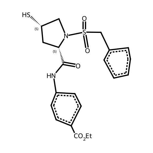 CCOC(=O)c1ccc(NC(=O)[C@@H]2C[C@H](S)CN2S(=O)(=O)Cc2ccccc2)cc1